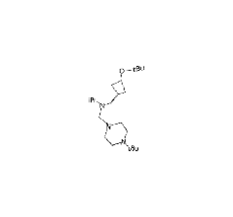 CC(C)N(CC1CC(OC(C)(C)C)C1)CN1CCN(C(C)(C)C)CC1